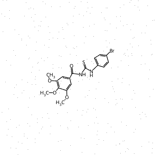 COc1cc(C(=O)NC(=S)Nc2ccc(Br)cc2)cc(OC)c1OC